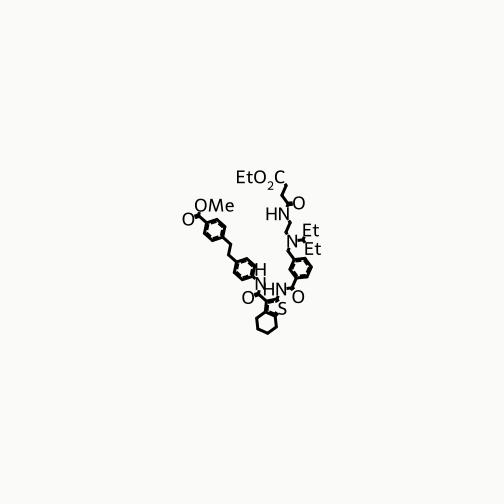 CCOC(=O)CCC(=O)NCCN(Cc1cccc(C(=O)Nc2sc3c(c2C(=O)Nc2ccc(CCc4ccc(C(=O)OC)cc4)cc2)CCCC3)c1)C(CC)CC